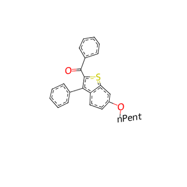 CCCCCOc1ccc2c(-c3ccccc3)c(C(=O)c3ccccc3)sc2c1